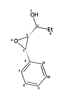 CCC(O)[C@H]1O[C@H]1c1ccccc1